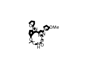 CO[C@@H]1CCN(c2cc3nc(n2)COC(=O)NCC[C@@H](C)Oc2ccc4c(c2)c-3nn4C2CCCCO2)C1